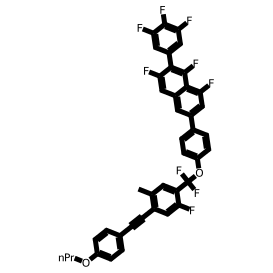 CCCOc1ccc(C#Cc2cc(F)c(C(F)(F)Oc3ccc(-c4cc(F)c5c(F)c(-c6cc(F)c(F)c(F)c6)c(F)cc5c4)cc3)cc2C)cc1